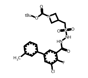 Cc1cccc(-c2cc(Cl)c(F)c(C(=O)NNS(=O)(=O)CC3CN(C(=O)OC(C)(C)C)C3)c2)c1